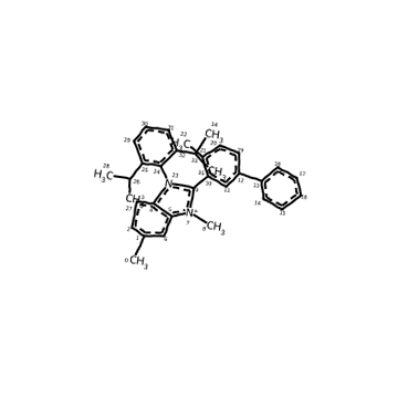 Cc1ccc2c(c1)[n+](C)c(-c1cc(-c3ccccc3)ccc1C)n2-c1c(C(C)C)cccc1C(C)C